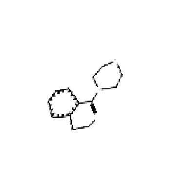 c1ccc2c(c1)CCN=C2N1CCNCC1